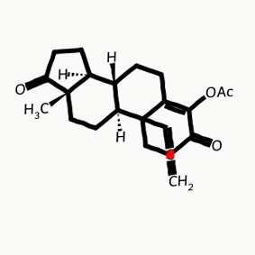 C=C=CC12CCC(=O)C(OC(C)=O)=C1CC[C@@H]1[C@@H]2CC[C@]2(C)C(=O)CC[C@@H]12